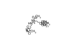 COC(=O)c1nc(NCCCc2c(Cl)nnc(Cl)c2C)sc1CCCO[Si](C)(C)C(C)(C)C